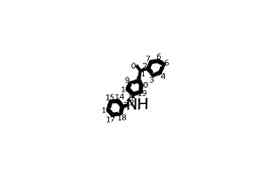 CC(c1ccccc1)c1ccc(Nc2ccccc2)cc1